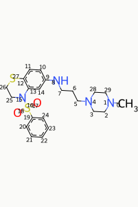 CN1CCN(CCCNc2ccc3c(c2)N(S(=O)(=O)c2ccccc2)CCS3)CC1